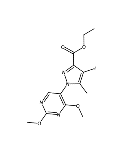 CCOC(=O)c1nn(-c2cnc(OC)nc2OC)c(C)c1I